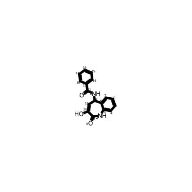 O=C1Nc2ccccc2C(NC(=O)c2ccccc2)C=C1O